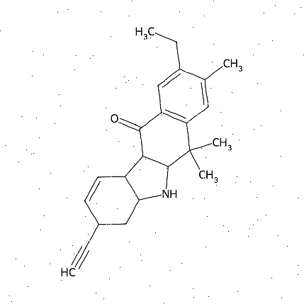 C#CC1C=CC2C(C1)NC1C2C(=O)c2cc(CC)c(C)cc2C1(C)C